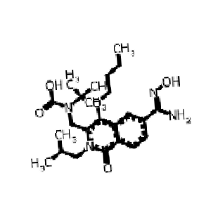 CCCCOc1c(CN(C(=O)O)C(C)(C)C)n(CC(C)C)c(=O)c2ccc(C(N)=NO)cc12